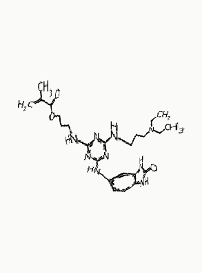 C=C(C)C(=O)OCCCNc1nc(NCCCN(CC)CC)nc(Nc2ccc3[nH]c(=O)[nH]c3c2)n1